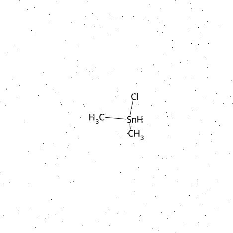 [CH3][SnH]([CH3])[Cl]